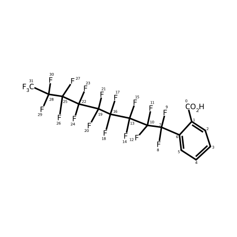 O=C(O)c1ccccc1C(F)(F)C(F)(F)C(F)(F)C(F)(F)C(F)(F)C(F)(F)C(F)(F)C(F)(F)C(F)(F)F